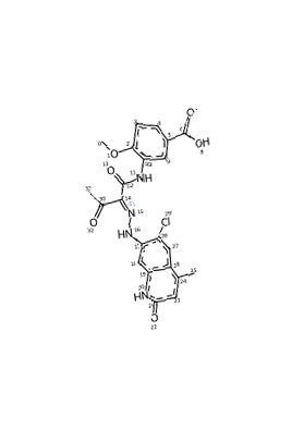 COc1ccc(C(=O)O)cc1NC(=O)/C(=N/Nc1cc2[nH]c(=O)cc(C)c2cc1Cl)C(C)=O